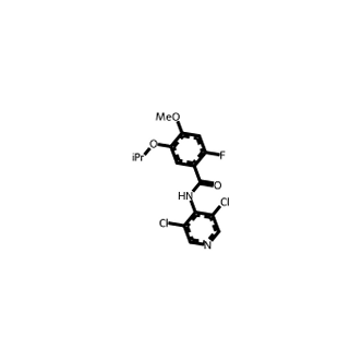 COc1cc(F)c(C(=O)Nc2c(Cl)cncc2Cl)cc1OC(C)C